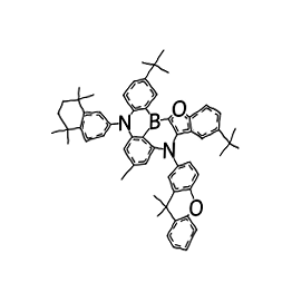 Cc1cc2c3c(c1)N(c1ccc4c(c1)C(C)(C)c1ccccc1O4)c1c(oc4ccc(C(C)(C)C)cc14)B3c1cc(C(C)(C)C)ccc1N2c1ccc2c(c1)C(C)(C)CCC2(C)C